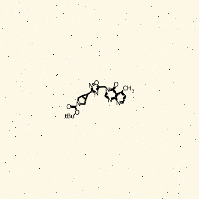 Cc1ccnc2ncn(Cc3nc(C4C5CN(C(=O)OC(C)(C)C)CC54)no3)c(=O)c12